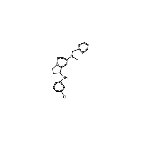 CN(Cc1ccccc1)c1ccc2c(c1)C(Nc1cccc(Cl)c1)CC2